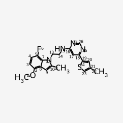 COc1ccc(F)c2c1cc(C)n2CCNc1cc(-c2cc(C)cs2)ncn1